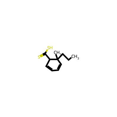 CCCC1(C)C=CC=CC1C(=S)S